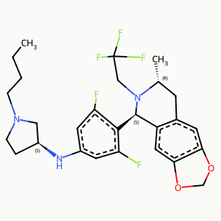 CCCCN1CC[C@H](Nc2cc(F)c([C@@H]3c4cc5c(cc4C[C@@H](C)N3CC(F)(F)F)OCO5)c(F)c2)C1